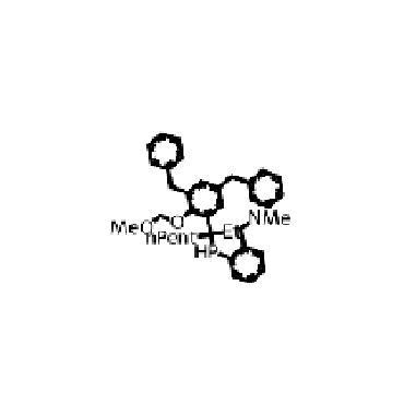 CCCCCC(CC)(Pc1ccccc1CNC)c1cc(Cc2ccccc2)cc(Cc2ccccc2)c1OCOC